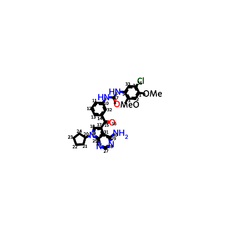 COc1cc(OC)c(NC(=O)Nc2cccc(C(=O)c3cn(C4CCCC4)c4ncnc(N)c34)c2)cc1Cl